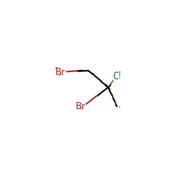 [CH2]C(Cl)(Br)CBr